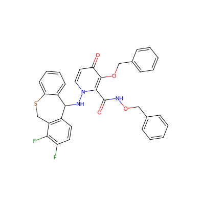 O=C(NOCc1ccccc1)c1c(OCc2ccccc2)c(=O)ccn1NC1c2ccccc2SCc2c1ccc(F)c2F